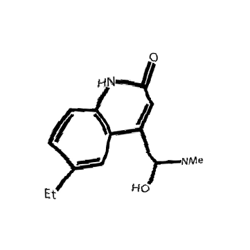 CCc1ccc2[nH]c(=O)cc(C(O)NC)c2c1